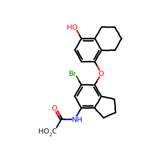 O=C(O)C(=O)Nc1cc(Br)c(Oc2ccc(O)c3c2CCCC3)c2c1CCC2